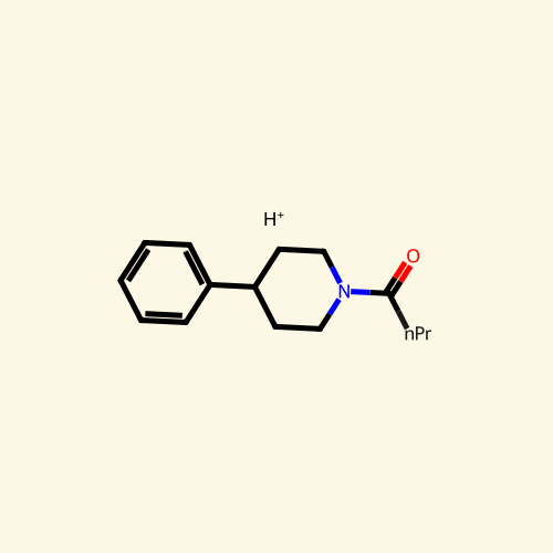 CCCC(=O)N1CCC(c2ccccc2)CC1.[H+]